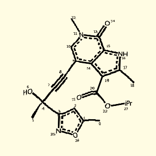 Cc1cc([C@](C)(O)C#Cc2cn(C)c(=O)c3[nH]c(C)c(C(=O)OC(C)C)c23)no1